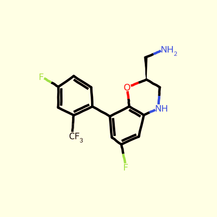 NC[C@H]1CNc2cc(F)cc(-c3ccc(F)cc3C(F)(F)F)c2O1